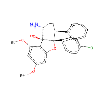 CCOc1cc(OCC)c2c(c1)O[C@@]1(c3ccc(Cl)cc3)[C@H](c3ccccc3)C[C@@H](N)[C@@]21O